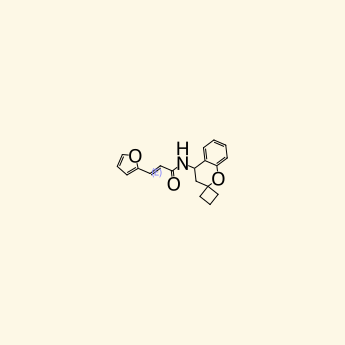 O=C(/C=C/c1ccco1)NC1CC2(CCC2)Oc2ccccc21